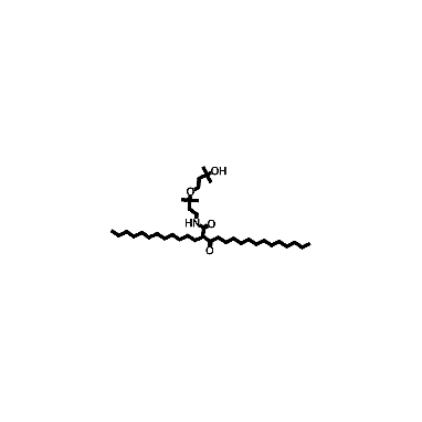 CCCCCCCCCCCCCC(=O)C(CCCCCCCCCCCC)C(=O)NCCC(C)(C)OCCC(C)(C)O